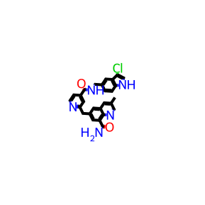 Cc1cnc2c(C(N)=O)cc(Cc3cc(C(=O)NCc4ccc5[nH]cc(Cl)c5c4)ccn3)cc2c1